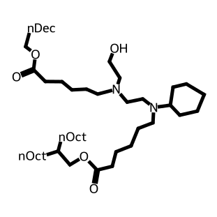 CCCCCCCCCCCOC(=O)CCCCCN(CCO)CCN(CCCCCC(=O)OCC(CCCCCCCC)CCCCCCCC)C1CCCCC1